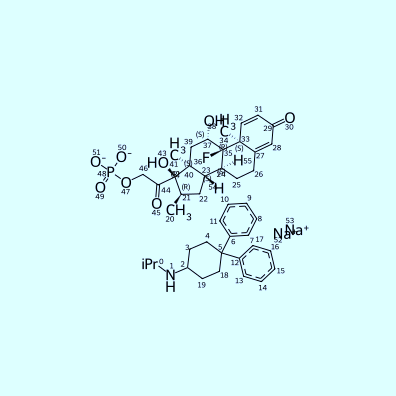 CC(C)NC1CCC(c2ccccc2)(c2ccccc2)CC1.C[C@@H]1C[C@H]2[C@@H]3CCC4=CC(=O)C=C[C@]4(C)[C@@]3(F)[C@@H](O)C[C@]2(C)[C@@]1(O)C(=O)COP(=O)([O-])[O-].[Na+].[Na+]